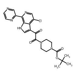 CC(C)(C)OC(=O)N1CCN(C(=O)C(=O)c2c[nH]c3c(-c4cnccn4)ncc(Cl)c23)CC1